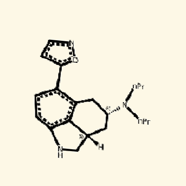 CCCN(CCC)[C@H]1Cc2c(-c3ccno3)ccc3c2[C@@H](CN3)C1